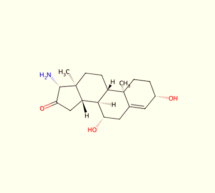 C[C@]12CC[C@H]3[C@@H]([C@@H](O)CC4=C[C@@H](O)CC[C@@]43C)[C@@H]1CC(=O)[C@@H]2N